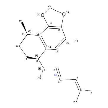 CC(C)=C/C=C/[C@H](C)[C@H]1CC[C@@H](C)c2c1cc(C)c1c2OCO1